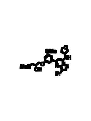 CNCC(O)COc1cc(OC)cc(-c2cc(N[C@@H]3CCOC3)n3ncc(C(C)C)c3n2)c1